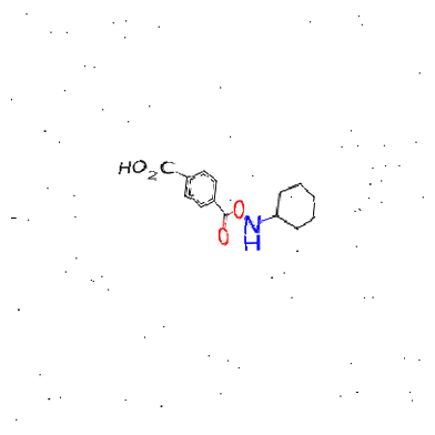 O=C(O)c1ccc(C(=O)ONC2CCCCC2)cc1